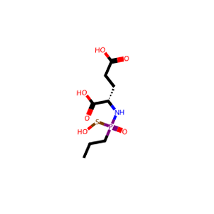 CCCP(=O)(N[C@@H](CCC(=O)O)C(=O)O)SO